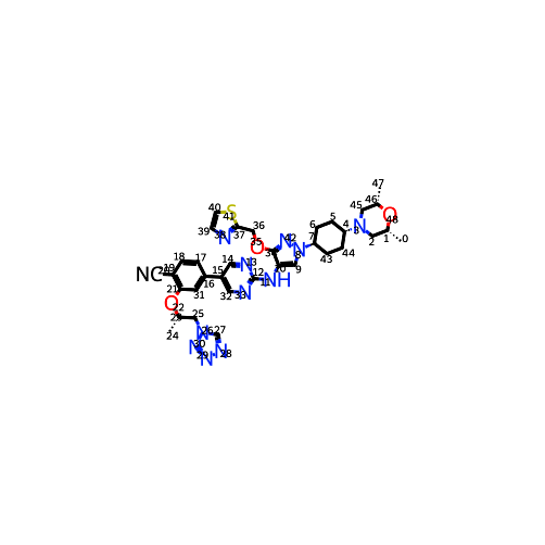 C[C@@H]1CN([C@H]2CC[C@H](n3cc(Nc4ncc(-c5ccc(C#N)c(O[C@@H](C)Cn6cnnn6)c5)cn4)c(OCc4nccs4)n3)CC2)C[C@H](C)O1